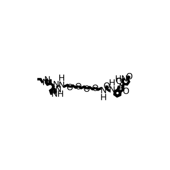 CCCn1cc(-c2nc(NCCOCCOCCOCCOCCNC(=O)CNc3cccc4c3CN(C3CCC(=O)NC3=O)C4=O)nc3[nH]ccc23)cn1